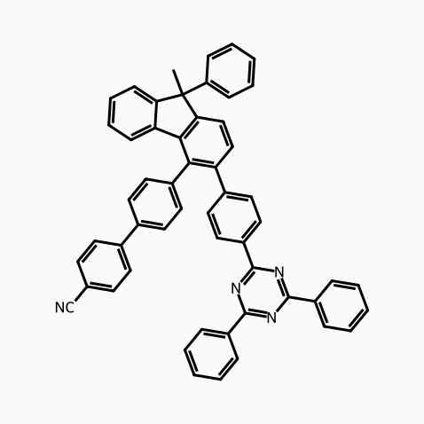 CC1(c2ccccc2)c2ccccc2-c2c1ccc(-c1ccc(-c3nc(-c4ccccc4)nc(-c4ccccc4)n3)cc1)c2-c1ccc(-c2ccc(C#N)cc2)cc1